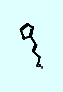 CCC=Cc1ncco1